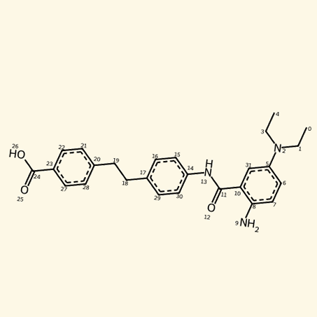 CCN(CC)c1ccc(N)c(C(=O)Nc2ccc(CCc3ccc(C(=O)O)cc3)cc2)c1